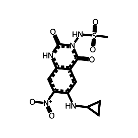 CS(=O)(=O)Nn1c(=O)[nH]c2cc([N+](=O)[O-])c(NC3CC3)cc2c1=O